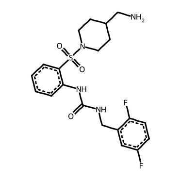 NCC1CCN(S(=O)(=O)c2ccccc2NC(=O)NCc2cc(F)ccc2F)CC1